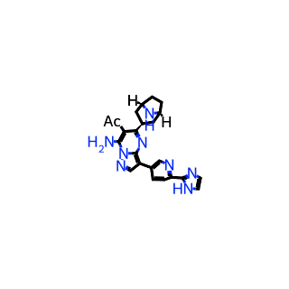 CC(=O)c1c([C@@H]2C[C@H]3CC[C@@H](C2)N3)nc2c(-c3ccc(-c4ncc[nH]4)nc3)cnn2c1N